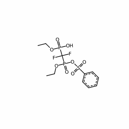 CCOP(=O)(O)C(F)(F)P(=O)(OCC)OS(=O)(=O)c1ccccc1